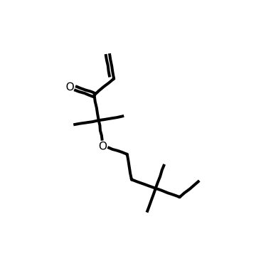 C=CC(=O)C(C)(C)OCCC(C)(C)CC